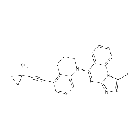 CC1(C#Cc2cccc3c2CCCN3c2nc3nnc(F)n3c3ccccc23)CC1